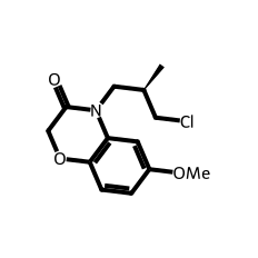 COc1ccc2c(c1)N(C[C@@H](C)CCl)C(=O)CO2